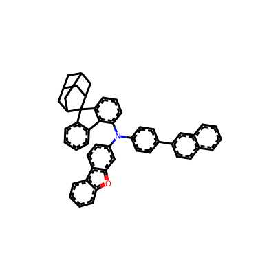 c1ccc2c(c1)-c1c(N(c3ccc(-c4ccc5ccccc5c4)cc3)c3ccc4c(c3)oc3ccccc34)cccc1C21C2CC3CC(C2)CC1C3